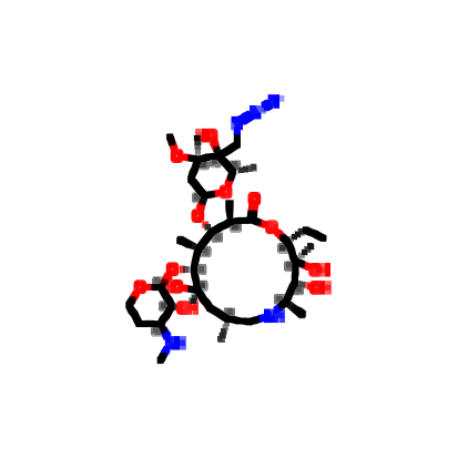 CC[C@H]1OC(=O)[C@H](C)[C@@H](O[C@H]2C[C@@](C)(OC)[C@](O)(CN=[N+]=[N-])[C@H](C)O2)[C@H](C)[C@@H](O[C@@H]2OCC[C@H](NC)[C@H]2O)[C@](C)(O)C[C@@H](C)CN[C@H](C)[C@@H](O)[C@]1(C)O